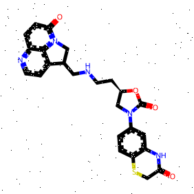 O=C1CSc2ccc(N3C[C@@H](CCNCC4Cn5c(=O)ccc6nccc4c65)OC3=O)cc2N1